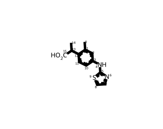 Cc1cc(Nc2nccs2)ccc1C(C)C(=O)O